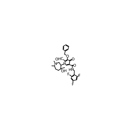 CC1CCC(C)(O)C(n2cc(C(=O)NCc3c(F)cc(F)cc3F)c(=O)c(OCc3ccccc3)c2C=O)CN1C